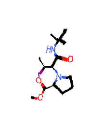 COC(=O)[C@@H]1CCCN1[C@H](C(=O)NC(C)(C)C)[C@H](C)I